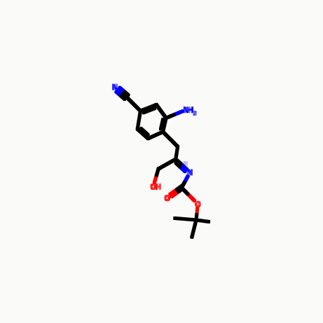 CC(C)(C)OC(=O)/N=C(\CO)Cc1ccc(C#N)cc1N